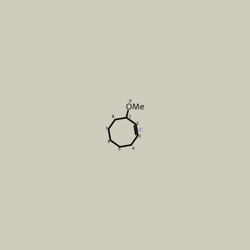 COC1/C=C\CCCCC1